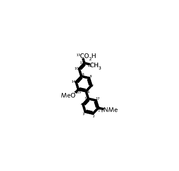 CNc1cccc(-c2ccc(C=C(C)C(=O)O)cc2OC)c1